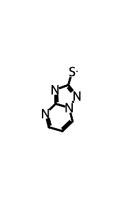 [S]c1nc2ncccn2n1